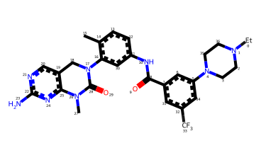 CCN1CCN(c2cc(C(=O)Nc3ccc(C)c(N4Cc5cnc(N)nc5N(C)C4=O)c3)cc(C(F)(F)F)c2)CC1